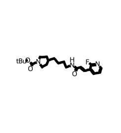 CC(C)(C)OC(=O)N1CCC(CCCCNC(=O)/C=C/c2cccnc2F)CC1